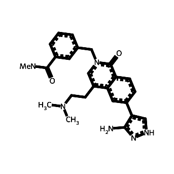 CNC(=O)c1cccc(Cn2cc(CCN(C)C)c3cc(-c4c[nH]nc4N)ccc3c2=O)c1